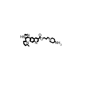 Cc1cccc(-c2[nH]cnc2-c2ccc3ncc(C(=O)OCCCN4CCC(N)CC4)cc3c2)n1